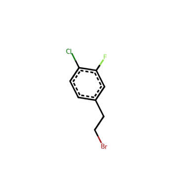 Fc1cc(CCBr)ccc1Cl